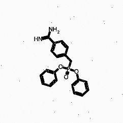 N=C(N)c1ccc(CP(=O)(Oc2ccccc2)Oc2ccccc2)cc1